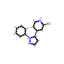 Clc1cc(-c2ccnn2-c2ccccc2)ccn1